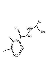 CCC(NNC(=O)c1cccc(C)c1C)C(C)(C)C